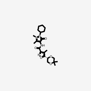 Cc1c(C(=O)Nc2c(C)n(C)n(C3CCCCC3)c2=O)noc1[C@H]1COC(C)(C)CO1